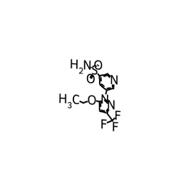 CCOc1cc(C(F)(F)F)nn1-c1cncc(S(N)(=O)=O)c1